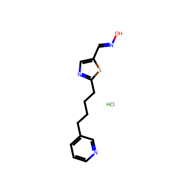 Cl.ON=Cc1cnc(CCCCc2cccnc2)s1